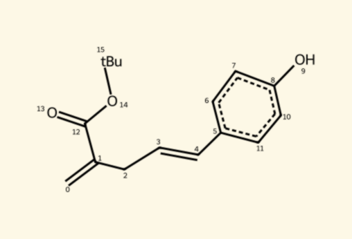 C=C(CC=Cc1ccc(O)cc1)C(=O)OC(C)(C)C